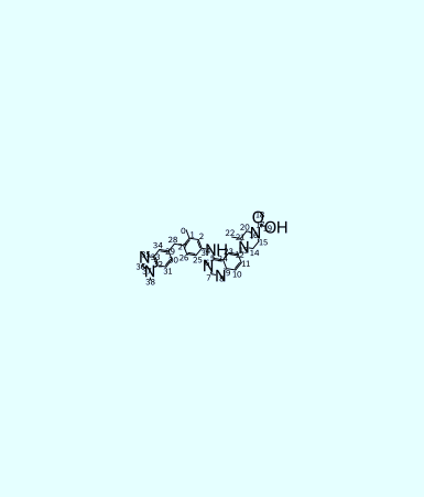 Cc1cc(Nc2ncnc3ccc(N4CCN(C(=O)O)CC4C)cc23)ccc1Cc1ccc2c(c1)ncn2C